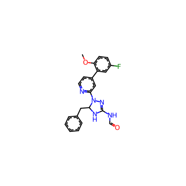 COc1ccc(F)cc1-c1ccnc(N2N=C(NC=O)NC2Cc2ccccc2)c1